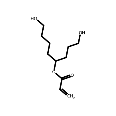 C=CC(=O)OC(CCCO)CCCCO